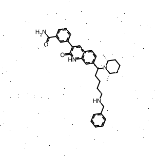 C[C@@H]1CCC[C@H](C)N1C(CCCCNCc1ccccc1)c1ccc2cc(-c3cccc(C(N)=O)c3)c(=O)[nH]c2c1